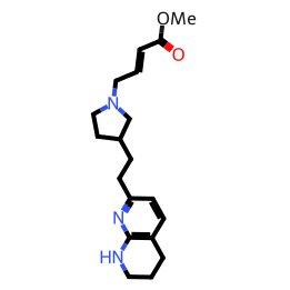 COC(=O)/C=C/CN1CCC(CCc2ccc3c(n2)NCCC3)C1